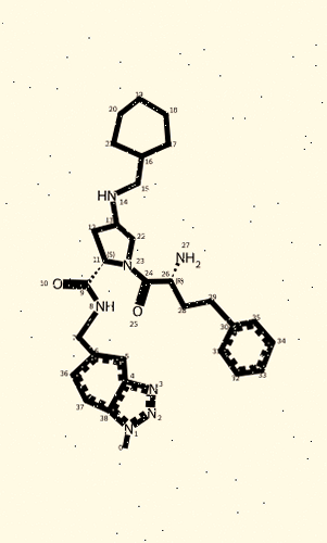 Cn1nnc2cc(CNC(=O)[C@@H]3CC(NCC4CCCCC4)CN3C(=O)[C@H](N)CCc3ccccc3)ccc21